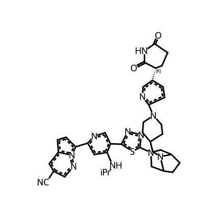 CC(C)Nc1cc(-c2ccc3cc(C#N)cnn23)ncc1-c1nnc(N2CC3CCC(C2)N3CC2CCN(c3ccc([C@H]4CCC(=O)NC4=O)cn3)CC2)s1